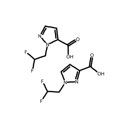 O=C(O)c1ccn(CC(F)F)n1.O=C(O)c1ccnn1CC(F)F